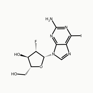 Nc1nc(I)c2ncn([C@@H]3O[C@H](CO)[C@@H](O)[C@@H]3F)c2n1